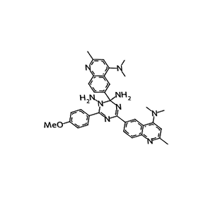 COc1ccc(C2=NC(c3ccc4nc(C)cc(N(C)C)c4c3)=NC(N)(c3ccc4nc(C)cc(N(C)C)c4c3)N2N)cc1